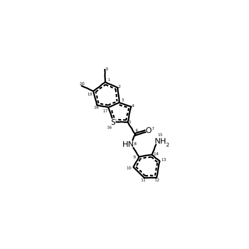 Cc1cc2cc(C(=O)Nc3ccccc3N)sc2cc1C